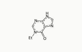 CCn1cnc2[nH]cnc2c1=O